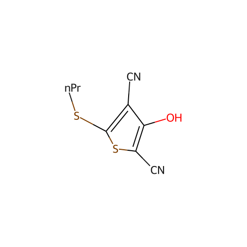 CCCSc1sc(C#N)c(O)c1C#N